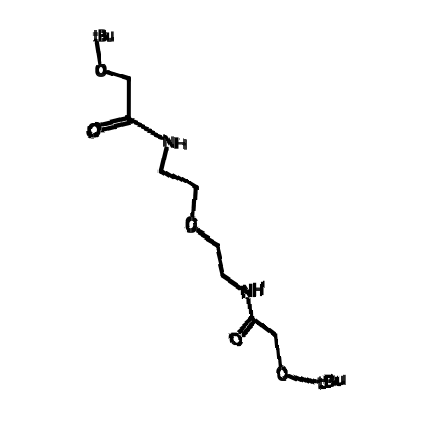 CC(C)(C)OCC(=O)NCCOCCNC(=O)COC(C)(C)C